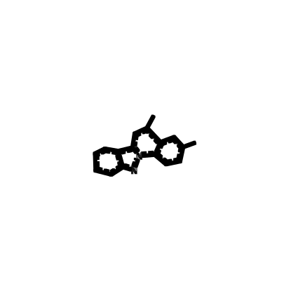 Cc1ccc2c(c1)c(C)cc1c3ccccc3nn21